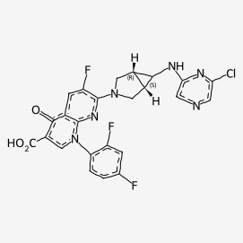 O=C(O)c1cn(-c2ccc(F)cc2F)c2nc(N3C[C@@H]4C(Nc5cncc(Cl)n5)[C@@H]4C3)c(F)cc2c1=O